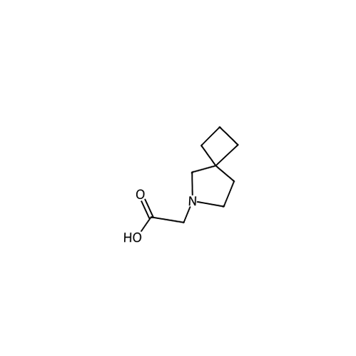 O=C(O)CN1CCC2(CCC2)C1